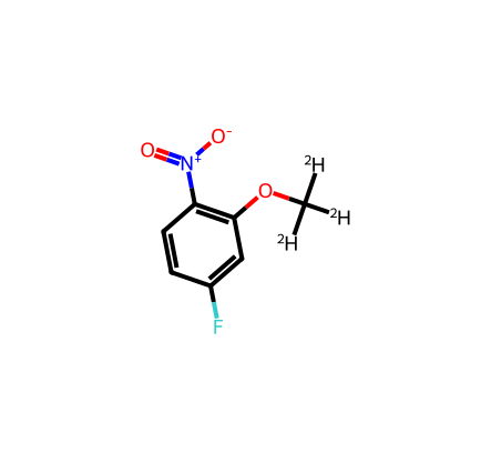 [2H]C([2H])([2H])Oc1cc(F)ccc1[N+](=O)[O-]